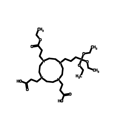 CCOC(=O)CCN1CCN(CCC[Si](OCC)(OCC)OCC)CCN(CCC(=O)O)CCN(CCC(=O)O)CC1